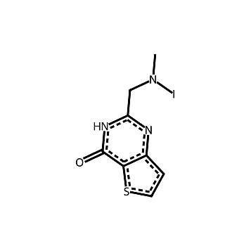 CN(I)Cc1nc2ccsc2c(=O)[nH]1